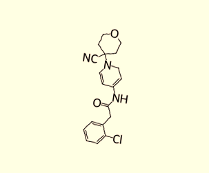 N#CC1(N2C=CC(NC(=O)Cc3ccccc3Cl)=CC2)CCOCC1